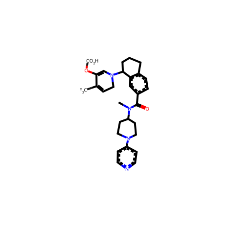 CN(C(=O)c1ccc2c(c1)C(N1C=C(OC(=O)O)C(C(F)(F)F)=CC1)CCC2)C1CCN(c2ccncc2)CC1